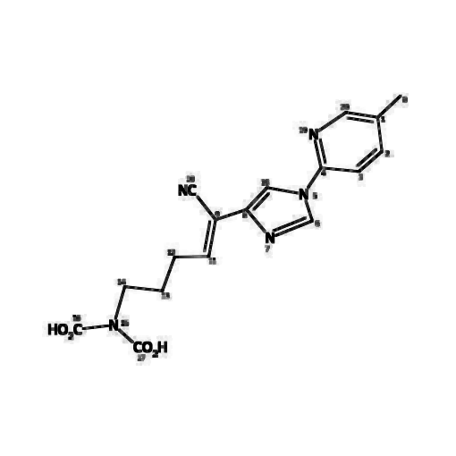 Cc1ccc(-n2cnc(/C(C#N)=C/CCCN(C(=O)O)C(=O)O)c2)nc1